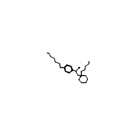 CCCCCCCc1ccc(C(C#N)CC2(CCCCC)CCCCC2)cc1